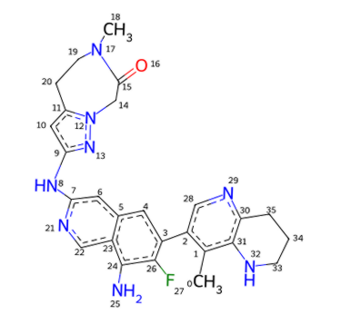 Cc1c(-c2cc3cc(Nc4cc5n(n4)CC(=O)N(C)CC5)ncc3c(N)c2F)cnc2c1NCCC2